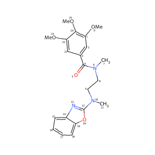 COc1cc(C(=O)N(C)CCN(C)c2nc3ccccc3o2)cc(OC)c1OC